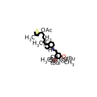 CC(=O)OC(CCC[C@@H](C)[C@H]1CC[C@H]2/C(=C/C=C3C[C@@H](O[Si](C)(C)C(C)(C)C)C[C@H](O[Si](C)(C)C(C)(C)C)C3)CCC[C@]12C)c1cc(C)cs1